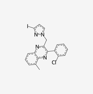 Cc1cccc2nc(Cn3ccc(I)n3)c(-c3ccccc3Cl)nc12